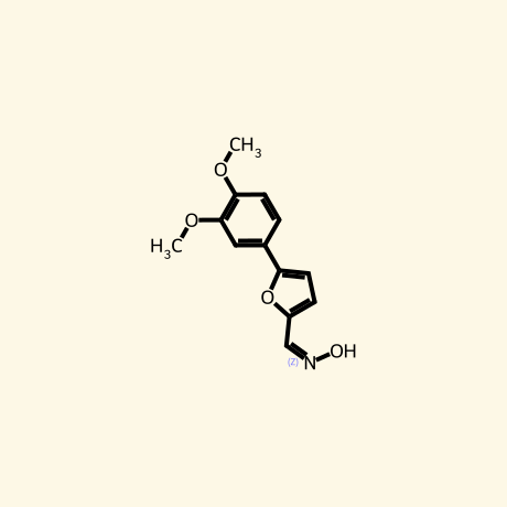 COc1ccc(-c2ccc(/C=N\O)o2)cc1OC